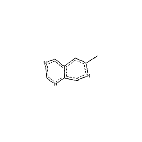 Cc1cc2cncnc2cn1